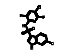 O=S(=O)(Nc1nc(F)c(Cl)cc1F)c1c[nH]c2cc(Cl)ccc12